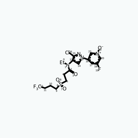 CCN(C(=O)CCS(=O)(=O)CCCC(F)(F)F)c1cn(-c2cc(F)c[n+]([O-])c2)nc1Cl